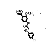 COc1cc(NC(=O)CNc2ccc(Cl)cc2)ccc1-c1cnco1